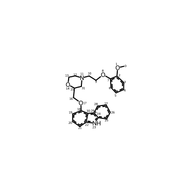 COc1ccccc1OCCN1CCOC(COc2cccc3[nH]c4ccccc4c23)C1